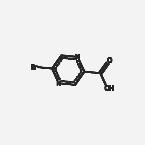 O=C(O)c1cnc(Br)cn1